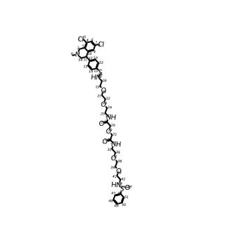 CN1Cc2c(Cl)cc(Cl)cc2C(c2ccc(SNCCOCCOCCNC(=O)COCC(=O)NCCOCCOCCN[S+]([O-])c3ccccc3)cc2)C1